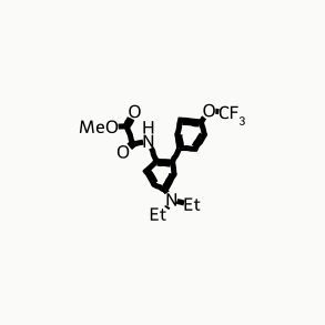 CCN(CC)c1ccc(NC(=O)C(=O)OC)c(-c2ccc(OC(F)(F)F)cc2)c1